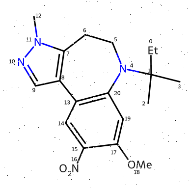 CCC(C)(C)N1CCc2c(cnn2C)-c2cc([N+](=O)[O-])c(OC)cc21